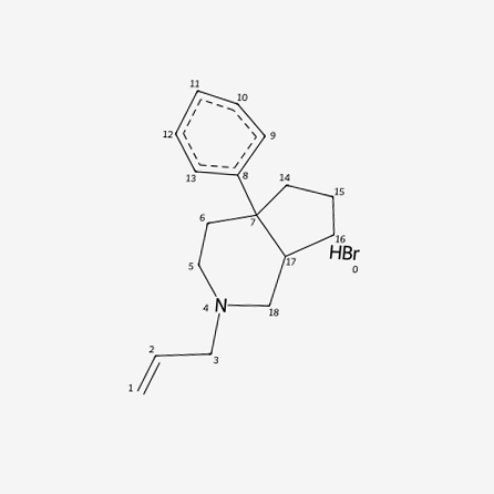 Br.C=CCN1CCC2(c3ccccc3)CCCC2C1